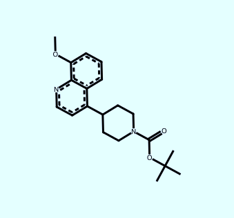 COc1cccc2c(C3CCN(C(=O)OC(C)(C)C)CC3)ccnc12